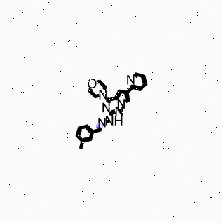 Cc1cccc(/C=N/Nc2nc(N3CCOCC3)c3cc(-c4ccccn4)cn3n2)c1